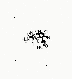 COc1c(C(C)n2nc(C)c3c(N)ncnc32)cc(Cl)c(C#N)c1C1CN(C(=O)O)C1